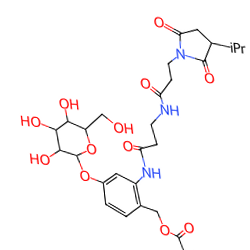 CC(C)C(=O)OCc1ccc(OC2OC(CO)C(O)C(O)C2O)cc1NC(=O)CCNC(=O)CCN1C(=O)CC(C(C)C)C1=O